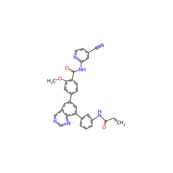 C=CC(=O)Nc1cccc(-c2cc(-c3ccc(C(=O)Nc4cc(C#N)ccn4)c(OC)c3)cc3cncnc23)c1